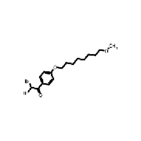 COCCCCCCCCOc1ccc(C(=O)C(Br)Br)cc1